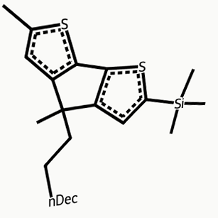 CCCCCCCCCCCCC1(C)c2cc(C)sc2-c2sc([Si](C)(C)C)cc21